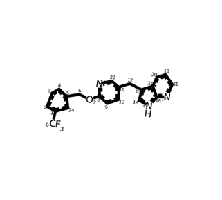 FC(F)(F)c1cccc(COc2ccc(Cc3c[nH]c4ncccc34)cn2)c1